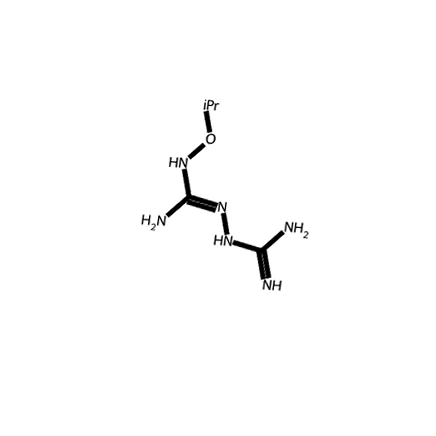 CC(C)ONC(N)=NNC(=N)N